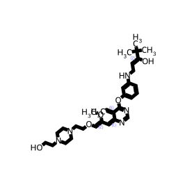 C/C=c1/c(Oc2cccc(NC/C=C(\O)C(C)(C)C)c2)ncn/c1=C/C(=C/OCCN1CCN(CCO)CC1)OC